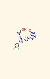 CN(CCO)CCn1cc(-c2ccc(F)c(F)c2)nc1C1CCN(c2ncnc3c2CC(=O)N3)CC1